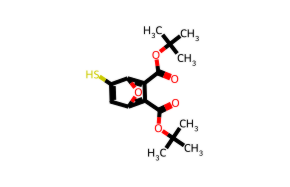 CC(C)(C)OC(=O)c1c(C(=O)OC(C)(C)C)c2oc1cc2S